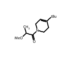 COC(C)C(=O)N1CC=C(C(C)(C)C)CC1